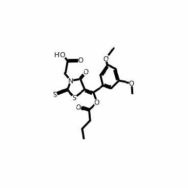 CCCC(=O)OC(=C1SC(=S)N(CC(=O)O)C1=O)c1cc(OC)cc(OC)c1